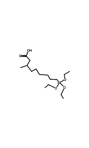 CCO[Si](CCCCCCC(C)CC(O)=S)(OCC)OCC